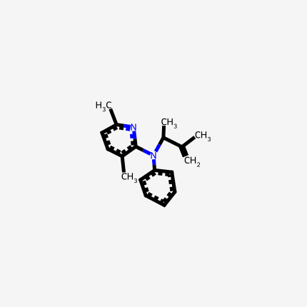 C=C(C)C(C)N(c1ccccc1)c1nc(C)ccc1C